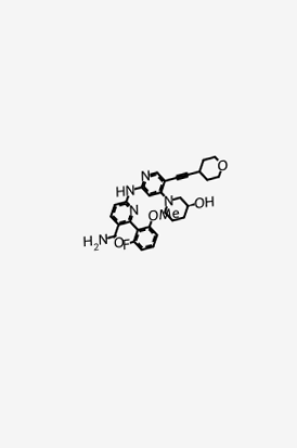 COc1cccc(F)c1-c1nc(Nc2cc(N3CCC[C@H](O)C3)c(C#CC3CCOCC3)cn2)ccc1C(N)=O